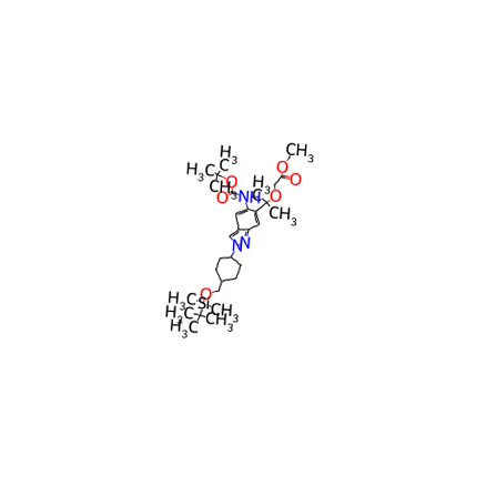 CCOC(=O)COC(C)(C)c1cc2nn(C3CCC(CO[Si](C)(C)C(C)(C)C)CC3)cc2cc1NC(=O)OC(C)(C)C